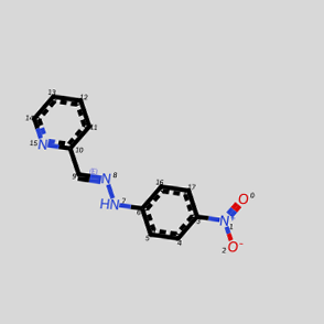 O=[N+]([O-])c1ccc(N/N=C/c2ccccn2)cc1